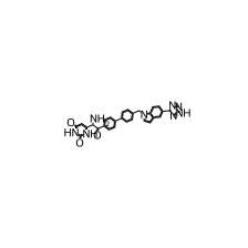 NC(C(=O)c1ccc(-c2ccc(Cn3ccc4cc(-c5nn[nH]n5)ccc43)cc2)cc1)c1cc(=O)[nH]c(=O)[nH]1